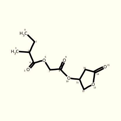 CCC(C)C(=O)OCC(=O)OC1COC(=O)C1